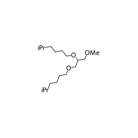 COCC(COCCCCC(C)C)OCCCCC(C)C